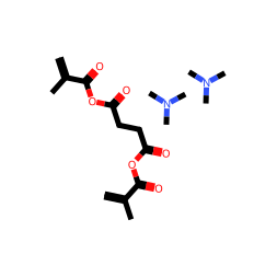 C=C(C)C(=O)OC(=O)CCC(=O)OC(=O)C(=C)C.CN(C)C.CN(C)C